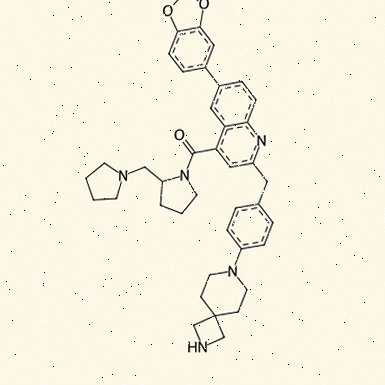 O=C(c1cc(Cc2ccc(N3CCC4(CC3)CNC4)cc2)nc2ccc(-c3ccc4c(c3)OCO4)cc12)N1CCCC1CN1CCCC1